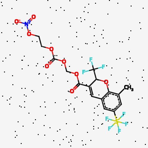 Cc1cc(S(F)(F)(F)(F)F)cc2c1OC(C(F)(F)F)C(C(=O)OCOC(=O)OCCO[N+](=O)[O-])=C2